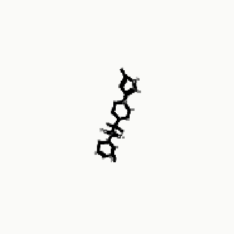 Cc1cc(N2CCC(C(C)(C)S(=O)(=O)c3cccc(F)c3)CC2)no1